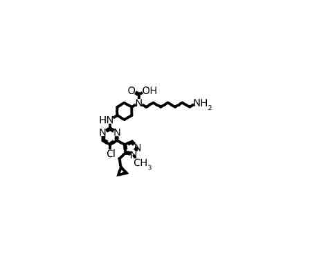 Cn1ncc(-c2nc(NC3CCC(N(CCCCCCCN)C(=O)O)CC3)ncc2Cl)c1CC1CC1